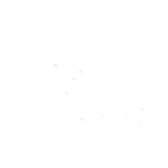 O=c1cnn([C@@H]2O[C@H](COP(=O)(O)OP(=O)(O)OP(=O)(O)O)C(O)[C@]2(F)C#CCF)c(=O)[nH]1